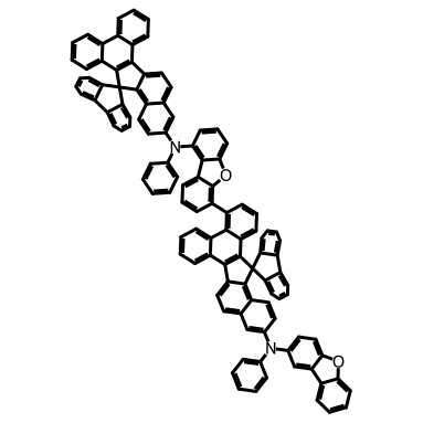 c1ccc(N(c2ccc3c4c(ccc3c2)-c2c(c3cccc(-c5cccc6c5oc5cccc(N(c7ccccc7)c7ccc8c9c(ccc8c7)-c7c(c8ccccc8c8ccccc78)C97c8ccccc8-c8ccccc87)c56)c3c3ccccc23)C42c3ccccc3-c3ccccc32)c2ccc3oc4ccccc4c3c2)cc1